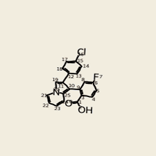 O=C(O)c1ccc(F)cc1-c1c(-c2ccc(Cl)cc2)cn2ccccc12